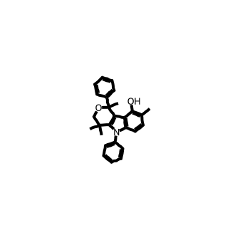 Cc1ccc2c(c1O)c1c(n2-c2ccccc2)C(C)(C)COC1(C)c1ccccc1